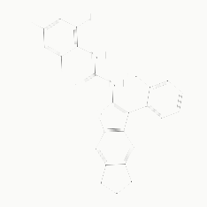 O=C(Nc1oc2cc3c(cc2c1-c1ccccc1Cl)CCC3)Nc1c(F)cc(F)cc1F